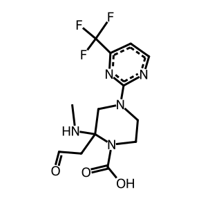 CNC1(CC=O)CN(c2nccc(C(F)(F)F)n2)CCN1C(=O)O